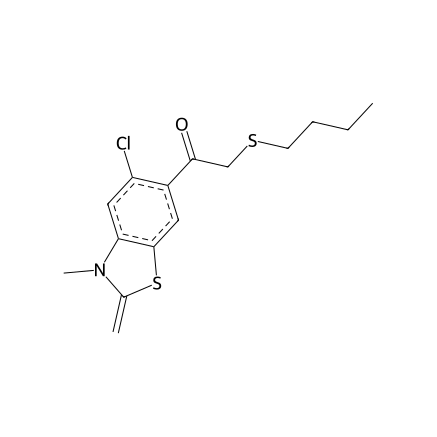 C=C1Sc2cc(C(=O)CSCCCC)c(Cl)cc2N1C